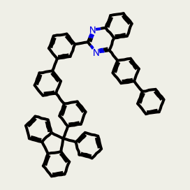 c1ccc(-c2ccc(-c3nc(-c4cccc(-c5cccc(-c6cccc(C7(c8ccccc8)c8ccccc8-c8ccccc87)c6)c5)c4)nc4ccccc34)cc2)cc1